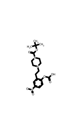 CC(C)(C)OC(=O)N1CCN(CCc2cc([N+](=O)[O-])ccc2OC(=O)O)CC1